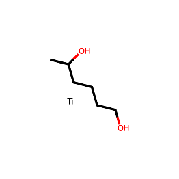 CC(O)CCCCO.[Ti]